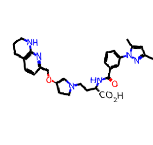 Cc1cc(C)n(-c2cccc(C(=O)NC(CCN3CC[C@@H](OCc4ccc5c(n4)NCCC5)C3)C(=O)O)c2)n1